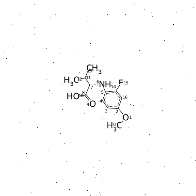 COc1ccc(N[C@H](C(=O)O)C(C)C)c(F)c1